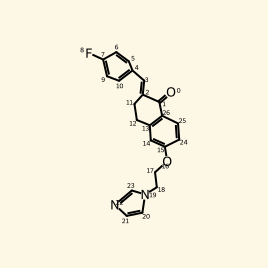 O=C1/C(=C/c2ccc(F)cc2)CCc2cc(OCCn3ccnc3)ccc21